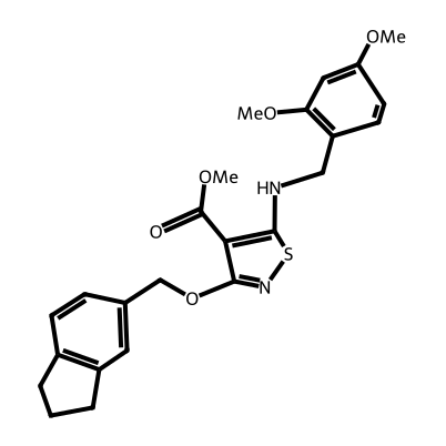 COC(=O)c1c(OCc2ccc3c(c2)CCC3)nsc1NCc1ccc(OC)cc1OC